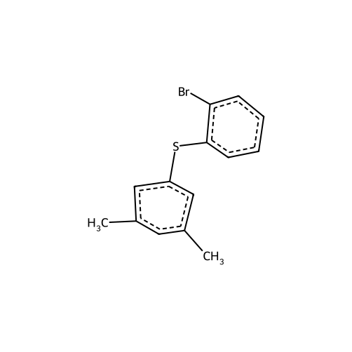 Cc1cc(C)cc(Sc2ccccc2Br)c1